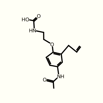 C=CCc1cc(NC(C)=O)ccc1OCCNC(=O)O